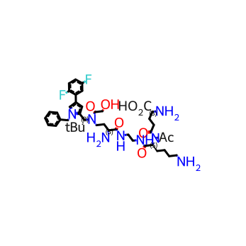 CC(=O)N(C(=O)CC[C@H](N)C(=O)O)[C@@H](CCCCN)C(=O)NCCNC(=O)[C@@H](N)CCN(C(=O)CO)[C@@H](c1cc(-c2cc(F)ccc2F)cn1Cc1ccccc1)C(C)(C)C